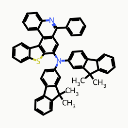 CC1(C)c2ccccc2-c2ccc(N(c3ccc4c(c3)C(C)(C)c3ccccc3-4)c3cc4c(-c5ccccc5)nc5ccccc5c4c4c3sc3ccccc34)cc21